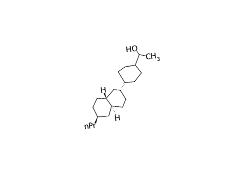 CCC[C@H]1CC[C@@H]2C[C@H](C3CCC(C(C)O)CC3)CC[C@H]2C1